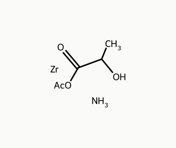 CC(=O)OC(=O)C(C)O.N.[Zr]